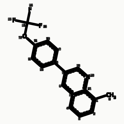 Cc1cccc2cc(-c3ccc(OC(F)(F)F)cc3)cnc12